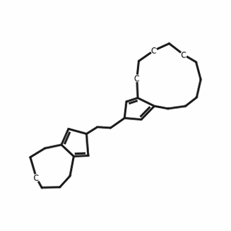 C1=C2CCCCCCCCCCC2=CC1CCC1C=C2CCCCCCC2=C1